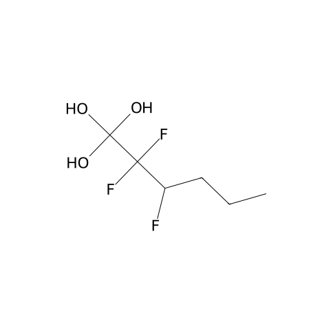 CCCC(F)C(F)(F)C(O)(O)O